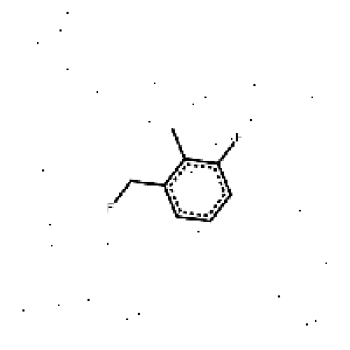 Cc1c(F)cccc1CF